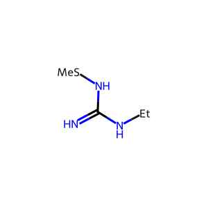 CCNC(=N)NSC